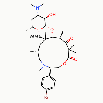 CO[C@]1(C)C[C@@H](C)CN(C)[C@H](c2ccc(Br)cc2)COC(=O)C(C)(C)C(=O)[C@H](C)[C@H]1O[C@@H]1O[C@H](C)C[C@H](N(C)C)[C@H]1O